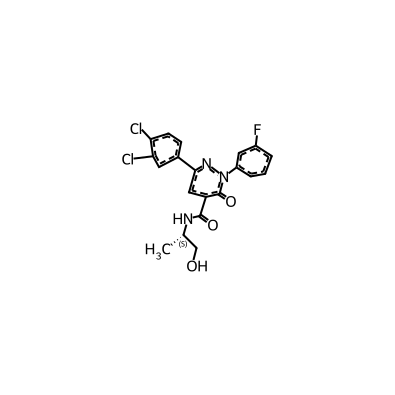 C[C@@H](CO)NC(=O)c1cc(-c2ccc(Cl)c(Cl)c2)nn(-c2cccc(F)c2)c1=O